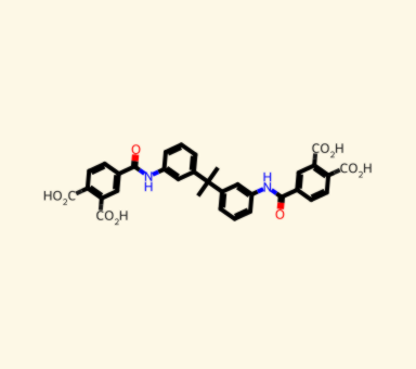 CC(C)(c1cccc(NC(=O)c2ccc(C(=O)O)c(C(=O)O)c2)c1)c1cccc(NC(=O)c2ccc(C(=O)O)c(C(=O)O)c2)c1